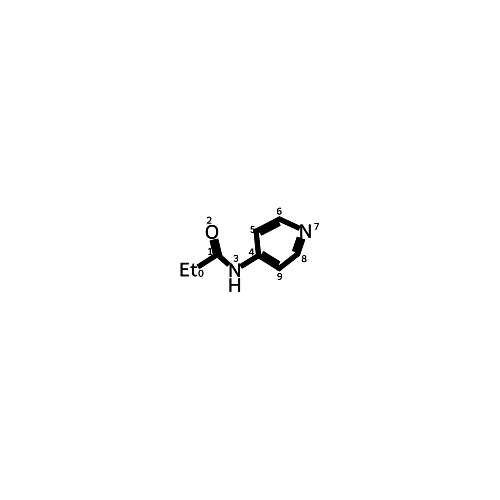 CCC(=O)Nc1ccncc1